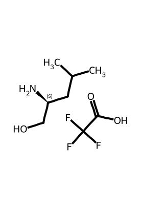 CC(C)C[C@H](N)CO.O=C(O)C(F)(F)F